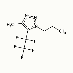 CCCn1nnc(C)c1C(F)(F)C(F)(F)F